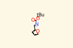 CC(C)(C)OC(=O)/N=C/c1ccco1